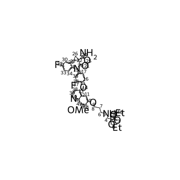 CCOP(=O)(CNCCCOc1cc2c(Oc3ccc(N(C(=O)C4(C(N)=O)CC4)c4ccc(F)cc4)cc3F)ccnc2cc1OC)OCC